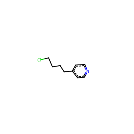 ClCCCCc1ccncc1